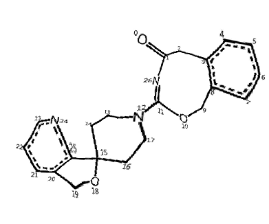 O=C1Cc2ccccc2CO/C(N2CCC3(CC2)OCc2cccnc23)=N\1